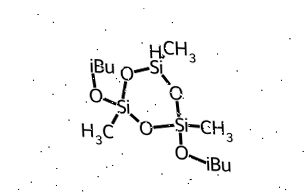 CCC(C)O[Si]1(C)O[SiH](C)O[Si](C)(OC(C)CC)O1